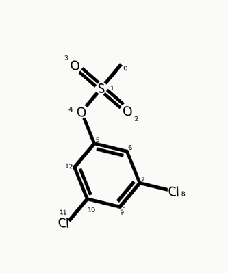 CS(=O)(=O)Oc1cc(Cl)[c]c(Cl)c1